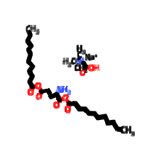 CCCCCCCCCCCC(=O)OC(=O)CCC(N)C(=O)OC(=O)CCCCCCCCCCC.C[N+](C)(C)CC(=O)O.[Na+]